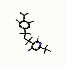 CC(C)c1c(I)cc(C(C)(C)CC(C)(C)c2c(I)cc(C(C)(C)C)nc2I)cc1I